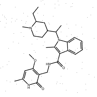 CCC1CC(C(C)n2c(C)c(C(=O)NCc3c(OC)cc(C)[nH]c3=O)c3ccccc32)CCN1C